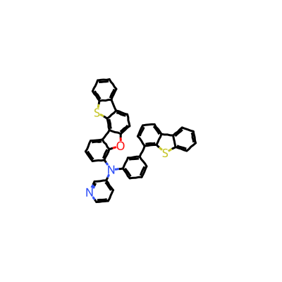 c1cncc(N(c2cccc(-c3cccc4c3sc3ccccc34)c2)c2cccc3c2oc2ccc4c5ccccc5sc4c23)c1